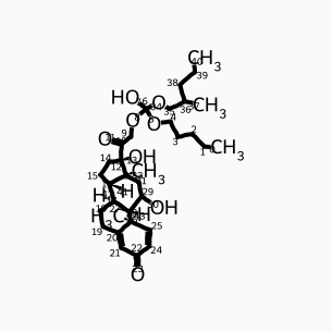 CCCCCOC(O)(OCC(=O)[C@@]1(O)CC[C@H]2[C@@H]3CCC4=CC(=O)C=C[C@]4(C)[C@H]3C(O)C[C@@]21C)OCC(C)CCC